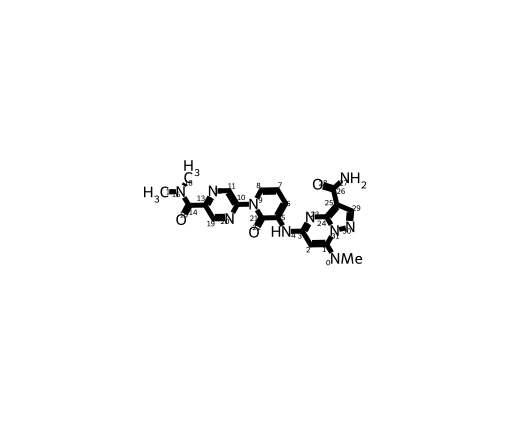 CNc1cc(Nc2cccn(-c3cnc(C(=O)N(C)C)cn3)c2=O)nc2c(C(N)=O)cnn12